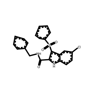 O=C(NCc1ccccc1)c1[nH]c2ccc(Cl)cc2c1S(=O)(=O)c1ccccc1